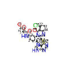 COc1ccc(NC(=O)[C@H]2CCC(=O)O2)cc1-n1c(CSc2ncnc3[nH]cnc23)nc2cccc(Cl)c2c1=O